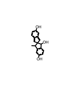 CC1c2cc(O)ccc2C(O)C12C=c1ccc(O)cc1=C2